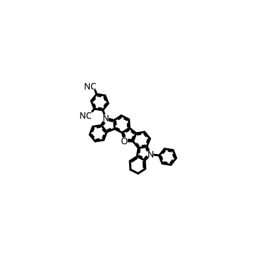 N#Cc1ccc(-n2c3ccccc3c3c4oc5c(ccc6c5c5c(n6-c6ccccc6)=CCCC=5)c4ccc32)c(C#N)c1